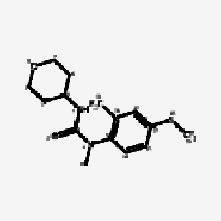 CN(C(=O)NC1CCOCC1)c1ccc(SC(F)(F)F)cc1C(F)(F)F